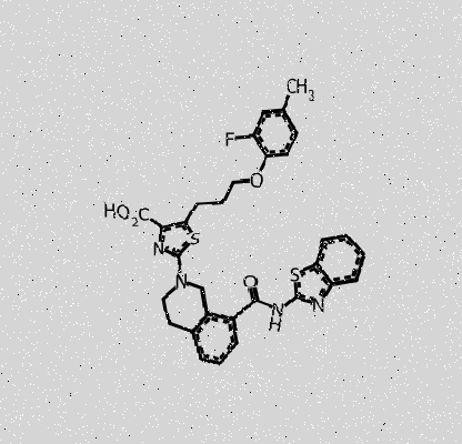 Cc1ccc(OCCCc2sc(N3CCc4cccc(C(=O)Nc5nc6ccccc6s5)c4C3)nc2C(=O)O)c(F)c1